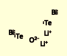 [Bi].[Bi].[Li+].[Li+].[O-2].[Te].[Te]